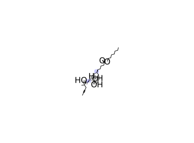 CC#CCC(C)[C@H](O)/C=C/[C@@H]1[C@H]2C/C(=C/CCCC(=O)OCCCCCCC)C[C@H]2C[C@H]1O